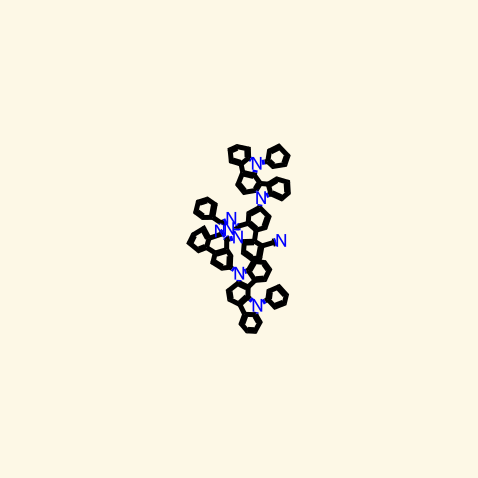 N#Cc1ccccc1-c1ccc(-n2c3ccccc3c3c2ccc2c4ccccc4n(-c4ccccc4)c23)cc1-c1nc(-c2ccccc2)nc(-c2cc(-n3c4ccccc4c4c3ccc3c5ccccc5n(-c5ccccc5)c34)ccc2-c2ccccc2C#N)n1